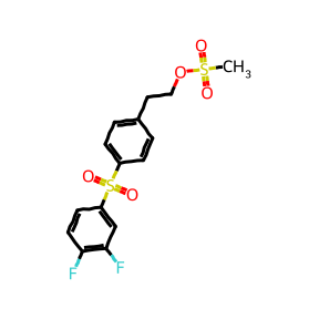 CS(=O)(=O)OCCc1ccc(S(=O)(=O)c2ccc(F)c(F)c2)cc1